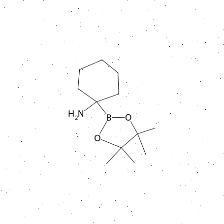 CC1(C)OB(C2(N)CCCCC2)OC1(C)C